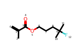 C=C(C)C(=O)OCCCC(C)(C)F